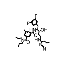 CCC/C(=N\C#N)NCC[C@@H](O)[C@H](Cc1cc(F)cc(F)c1)NC(=O)c1cc(C)cc(C(=O)N(CCC)CCC)c1